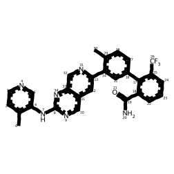 Cc1ccncc1Nc1ncc2cc(-c3cc(-c4c(C(N)=O)cccc4C(F)(F)F)ccc3C)ncc2n1